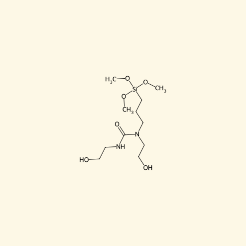 CO[Si](CCCN(CCO)C(=O)NCCO)(OC)OC